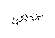 CC1(Cc2ccc(C3=NNC(=O)CC3)s2)N=CC=N1